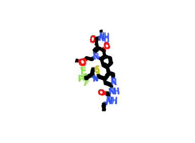 CCNC(=O)Nc1cc(-c2nc(C(F)(F)F)cs2)c(-c2ccc3c(=O)c(C(=O)NC)cn(CCOC)c3c2)cn1